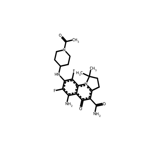 CC(=O)N1CCC(Nc2c(F)c(N)c3c(=O)c(C(N)=O)c4n(c3c2F)C(C)(C)CC4)CC1